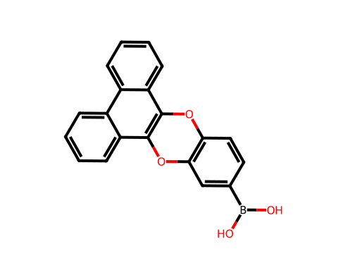 OB(O)c1ccc2c(c1)Oc1c(c3ccccc3c3ccccc13)O2